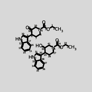 CCOC(=O)N1CCC(c2c[nH]c3ccccc23)C(=O)C1.CCOC(=O)N1CCC(c2c[nH]c3ccccc23)C(O)C1